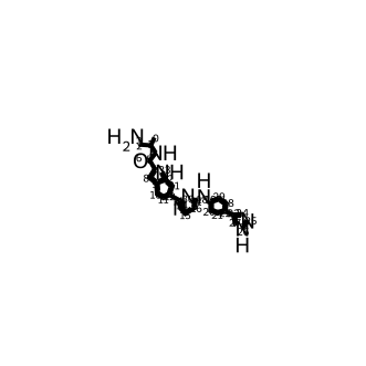 CC(CN)NC(=O)c1cc2ccc(-c3nccc(Nc4ccc(-c5cn[nH]c5)cc4)n3)cc2[nH]1